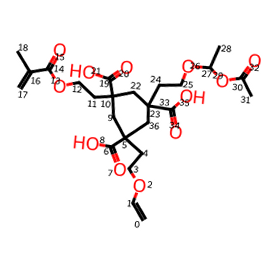 C=COCCC1(C(=O)O)CC(CCOC(=O)C(=C)C)(C(=O)O)CC(CCOC(C)OC(C)=O)(C(=O)O)C1